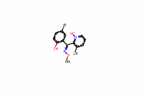 CC(C)(C)O/N=C(/c1cc(Br)ccc1O)c1c(C#N)ccc[n+]1[O-]